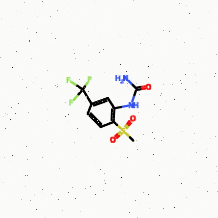 CS(=O)(=O)c1ccc(C(F)(F)F)cc1NC(N)=O